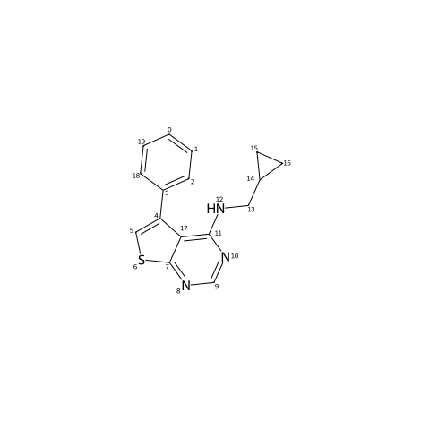 c1ccc(-c2csc3ncnc(NCC4CC4)c23)cc1